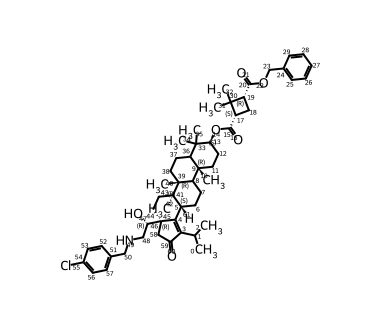 CC(C)C1=C2[C@H]3CCC4[C@@]5(C)CC[C@H](OC(=O)[C@H]6C[C@@H](C(=O)OCc7ccccc7)C6(C)C)C(C)(C)C5CC[C@@]4(C)[C@]3(C)CC[C@@]2([C@@H](O)CNCc2ccc(Cl)cc2)CC1=O